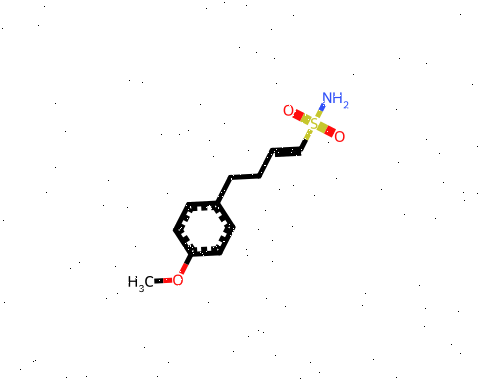 COc1ccc(CCC=CS(N)(=O)=O)cc1